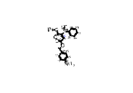 CC(C)OC(=O)/C(=C\C(=O)OCc1ccc([N+](=O)[O-])cc1)[S+]([O-])c1ccccc1